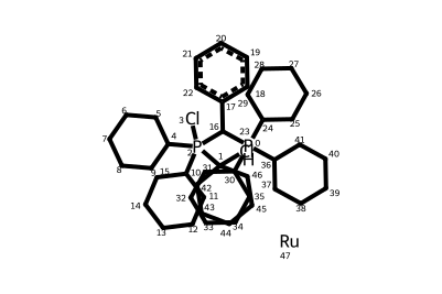 ClC1(P(Cl)(C2CCCCC2)(C2CCCCC2)C(c2ccccc2)[PH](C2CCCCC2)(C2CCCCC2)C2CCCCC2)CCCCC1.[Ru]